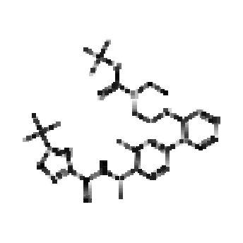 Cc1cc(-c2ccncc2N2CCN(C(=O)OC(C)(C)C)CC2)ccc1C(C)NC(=O)c1noc(C(C)(C)C)n1